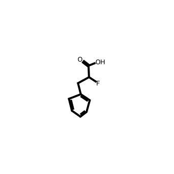 O=C(O)C(F)Cc1ccccc1